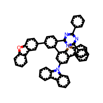 c1ccc(-c2nc(-c3ccccc3)nc(-c3ccc(-c4ccc5oc6ccccc6c5c4)cc3-c3cc(-n4c5ccccc5c5ccccc54)cc4c3sc3ccccc34)n2)cc1